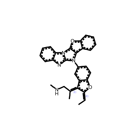 C/C=c1/oc2ccc(-n3c4c5ccccc5oc4n4c5ccccc5nc34)cc2/c1=C(/C)CNC